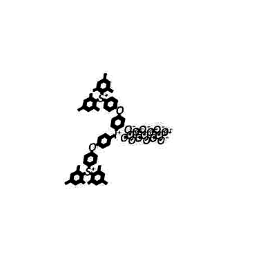 Cc1cc(C)c([S+](c2ccc(Oc3ccc([I+]c4ccc(Oc5ccc([S+](c6c(C)cc(C)cc6C)c6c(C)cc(C)cc6C)cc5)cc4)cc3)cc2)c2c(C)cc(C)cc2C)c(C)c1.[O-][Cl+3]([O-])([O-])[O-].[O-][Cl+3]([O-])([O-])[O-].[O-][Cl+3]([O-])([O-])[O-]